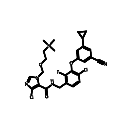 C[Si](C)(C)CCOCn1cnc(Cl)c1C(=O)NCc1ccc(Cl)c(Oc2cc(C#N)cc(C3CC3)c2)c1F